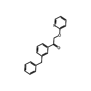 O=C(COc1ccccn1)c1cccc(Cc2ccccc2)c1